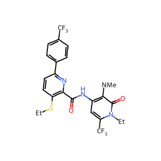 CCSc1ccc(-c2ccc(C(F)(F)F)cc2)nc1C(=O)Nc1cc(C(F)(F)F)n(CC)c(=O)c1NC